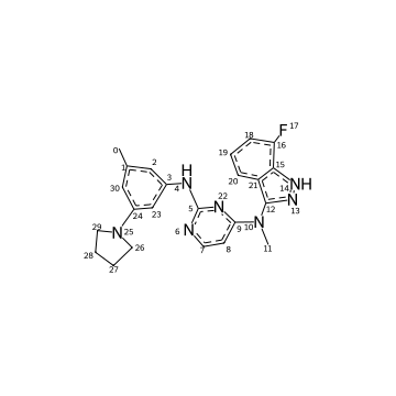 Cc1cc(Nc2nccc(N(C)c3n[nH]c4c(F)cccc34)n2)cc(N2CCCC2)c1